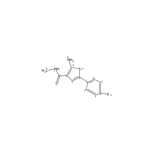 CNC(=O)c1cc(-c2ccc(F)cc2)sc1N